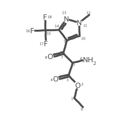 CCOC(=O)C(N)C(=O)c1cn(C)nc1C(F)(F)F